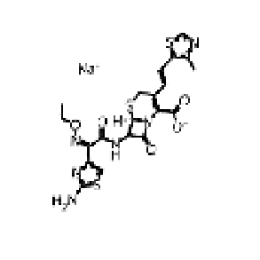 CCO/N=C(\C(=O)NC1C(=O)N2C(C(=O)[O-])=C(/C=C/c3scnc3C)CS[C@H]12)c1csc(N)n1.[Na+]